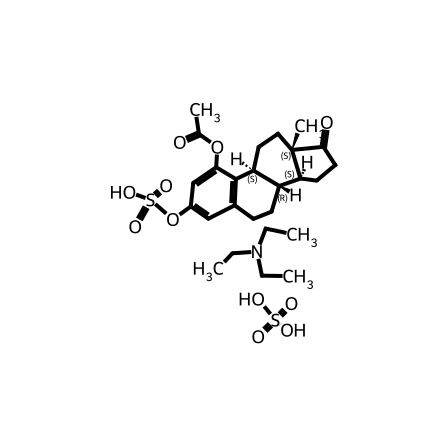 CC(=O)Oc1cc(OS(=O)(=O)O)cc2c1[C@H]1CC[C@]3(C)C(=O)CC[C@H]3[C@@H]1CC2.CCN(CC)CC.O=S(=O)(O)O